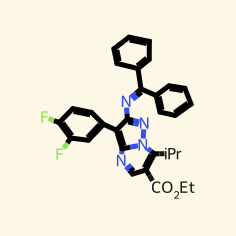 CCOC(=O)c1cnc2c(-c3ccc(F)c(F)c3)c(N=C(c3ccccc3)c3ccccc3)nn2c1C(C)C